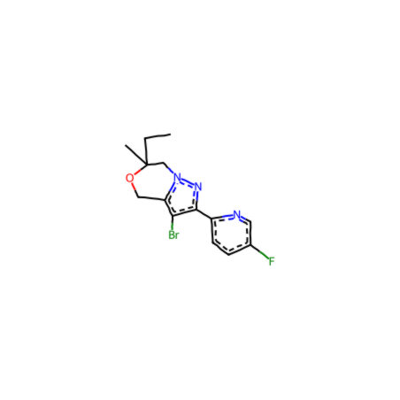 CCC1(C)Cn2nc(-c3ccc(F)cn3)c(Br)c2CO1